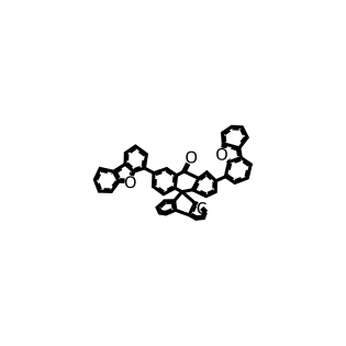 O=C1c2cc(-c3cccc4c3oc3ccccc34)ccc2C2(c3ccc(-c4cccc5c4oc4ccccc45)cc31)c1ccccc1-c1ccccc12